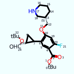 CC(C)(C)OC(=O)c1cc(C2CC2)c(OC[C@H]2CCCNC2)cc1F.CC(C)(C)OC=O